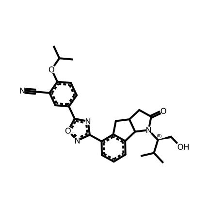 CC(C)Oc1ccc(-c2nc(-c3cccc4c3CC3CC(=O)N([C@@H](CO)C(C)C)C43)no2)cc1C#N